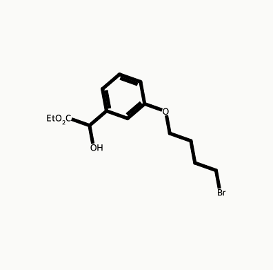 CCOC(=O)C(O)c1cccc(OCCCCBr)c1